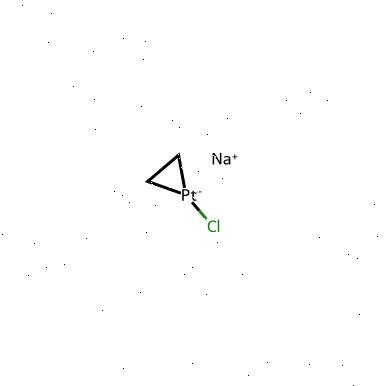 [Cl][Pt-]1[CH2][CH2]1.[Na+]